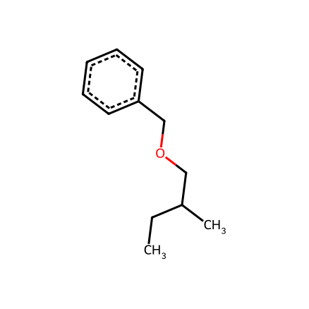 CCC(C)COCc1ccccc1